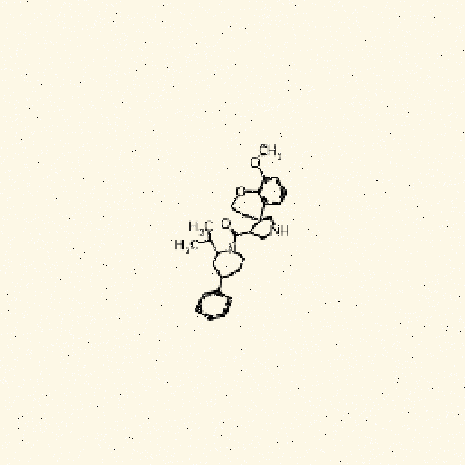 COc1cccc2c1OCC[C@]21CNCC1C(=O)N1CC[C@@H](c2ccccc2)C[C@H]1C(C)C